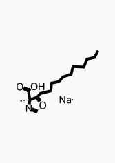 C=N[C@@](C)(C(=O)O)C(=O)CCCCCCCCCCC.[Na]